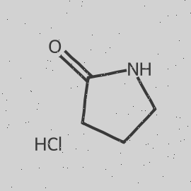 Cl.O=C1CCCN1